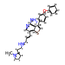 CN1CCC[C@@H]1CCNCC=Cc1cnc(N)c2c(-c3ccc(Oc4ccccc4)cc3)csc12